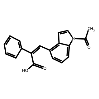 CC(=O)n1ccc2c(C=C(C(=O)O)c3ccccc3)cccc21